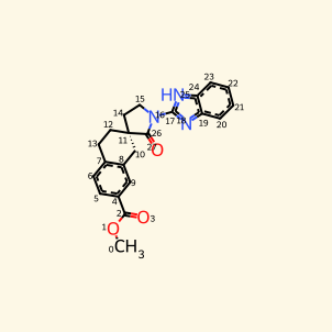 COC(=O)c1ccc2c(c1)C[C@]1(CC2)CCN(c2nc3ccccc3[nH]2)C1=O